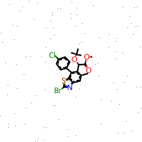 COC(=O)C(OC(C)(C)C)c1c(C)cc2nc(Br)sc2c1-c1ccc(Cl)cc1